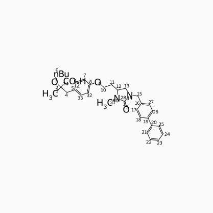 CCCCOC(C)(Cc1ccc(OCCC2CN(Cc3ccc(-c4ccccc4)cc3)C(=O)N2C)cc1)C(=O)O